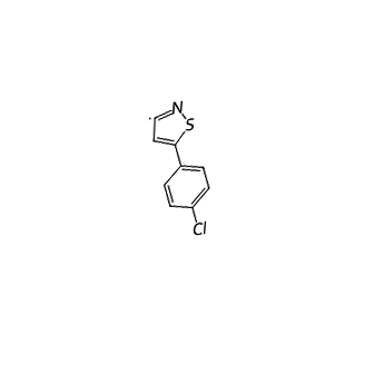 Clc1ccc(-c2c[c]ns2)cc1